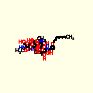 CCCCCC/C=C\CCCOc1cccc(C(=O)NC2C(OC3=C(O)C(NC(C)=O)C(OC4C(CO)OC(OC5C(CO)OC(CO)C(NC(C)=O)C5O)C(NC(C)=O)C4O)OC3CO)OC(CO)C(O)C2O)c1